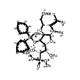 COCCO[C@@H]1[C@H](O[Si](c2ccccc2)(c2ccccc2)C(C)(C)C)[C@@H]([C@H](OC(C)=O)[C@@H](OC(C)=O)P(=O)(OC(C)C)OC(C)C)O[C@H]1N(/C=C(/C)C(C)=O)C(C)=O